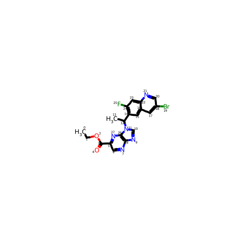 CCOC(=O)c1cnc2ncn(C(C)c3cc4cc(Br)cnc4cc3F)c2n1